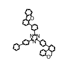 c1ccc(-c2ccc(-c3nc(-c4ccc(-c5cccc6c5-c5ccccc5OC6)cc4)nc(-c4cccc(-c5cccc6c5oc5ccccc56)c4)n3)cc2)cc1